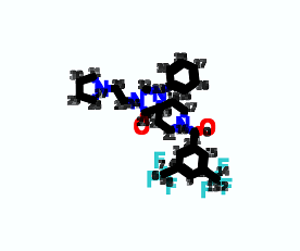 O=C(c1cc(C(F)(F)F)cc(C(F)(F)F)c1)N1CCC2(CC1)C(=O)N(CCN1CCCC1)CN2c1ccccc1